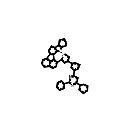 c1ccc(-c2cc(-c3cccc(-c4cccc(-c5ccc6cccc7c6c5-c5c-7ccc6c5oc5ccccc56)c4)c3)nc(-c3ccccc3)n2)cc1